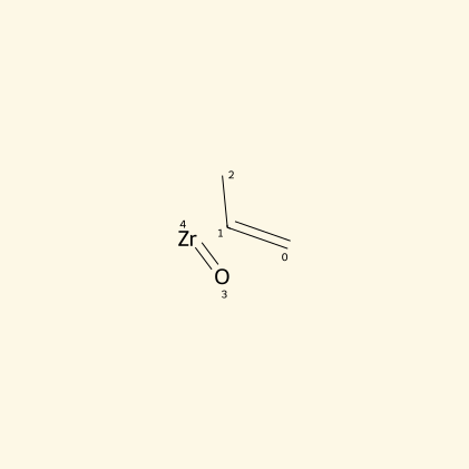 C=CC.[O]=[Zr]